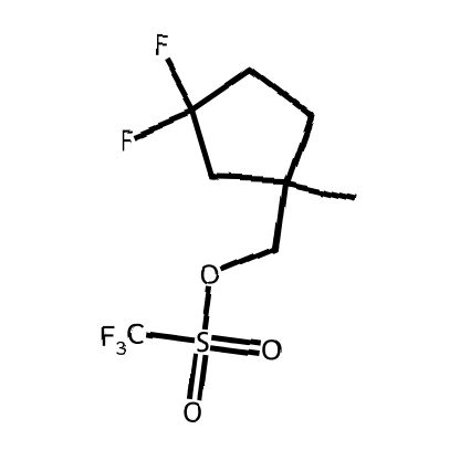 CC1(COS(=O)(=O)C(F)(F)F)CCC(F)(F)C1